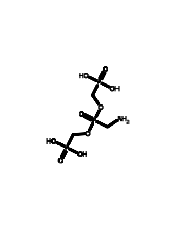 NCP(=O)(OCP(=O)(O)O)OCP(=O)(O)O